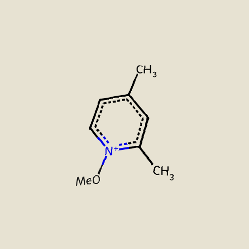 CO[n+]1ccc(C)cc1C